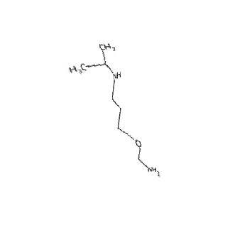 CC(C)NCCCOCN